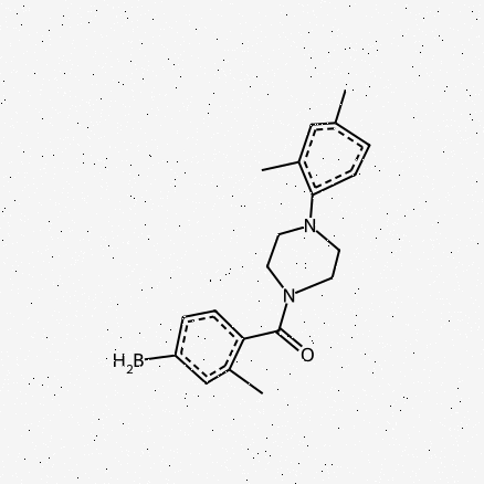 Bc1ccc(C(=O)N2CCN(c3ccc(C)cc3C)CC2)c(C)c1